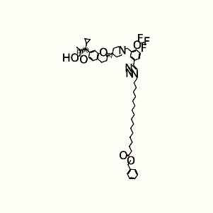 C[C@H](C(=O)O)[C@H](c1ccc2c(c1)O[C@@H](C1CCN(Cc3cc(-c4cn(CCCCCCCCCCCCCCCCCC(=O)OCc5ccccc5)nn4)ccc3OC(F)(F)F)CC1)CC2)C1CC1